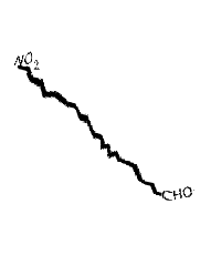 O=[C]CCCCCC=CCC=CCC=CCC=CCC=CCC[N+](=O)[O-]